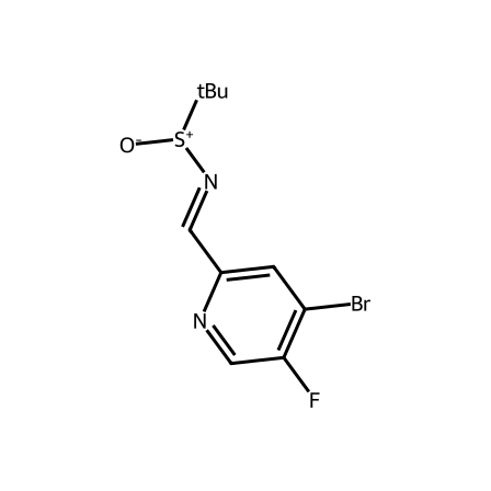 CC(C)(C)[S+]([O-])N=Cc1cc(Br)c(F)cn1